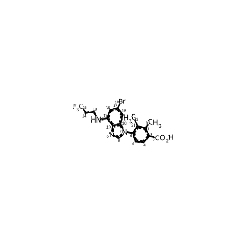 Cc1c(C(=O)O)ccc(-n2cnc3c(NCCC(F)(F)F)cc(Br)cc32)c1C